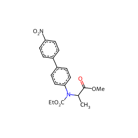 CCOC(=O)N(c1ccc(-c2ccc([N+](=O)[O-])cc2)cc1)C(C)C(=O)OC